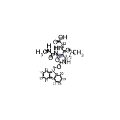 CCC[C@H](NC(=O)OCC1c2ccccc2-c2ccccc21)/C(=N/NC(=O)NC)C(=O)NCC(=O)O